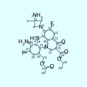 Bc1c(N2CC(C)(N)C2)c(F)cc2c(=O)c(C(=O)OCC)cn(-c3cc(N)c(F)cc3COC(C)=O)c12